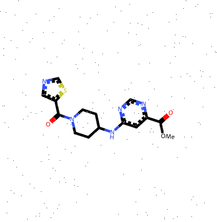 COC(=O)c1cc(NC2CCN(C(=O)c3cncs3)CC2)ncn1